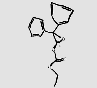 CCOC(=O)O[C@@H]1OC1(c1ccccc1)c1ccccc1